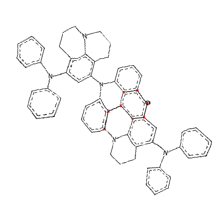 c1ccc(-c2ccccc2N(c2cccc(Oc3cc(N(c4ccccc4)c4ccccc4)c4c5c3CCCN5CCC4)c2)c2cc(N(c3ccccc3)c3ccccc3)c3c4c2CCCN4CCC3)cc1